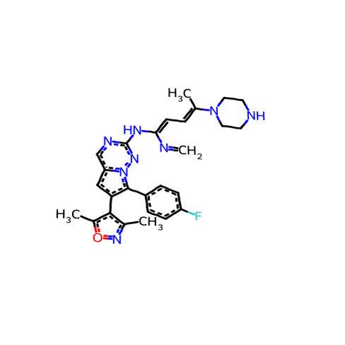 C=N/C(=C\C=C(/C)N1CCNCC1)Nc1ncc2cc(-c3c(C)noc3C)c(-c3ccc(F)cc3)n2n1